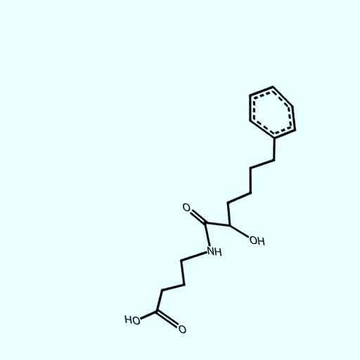 O=C(O)CCCNC(=O)C(O)CCCCc1ccccc1